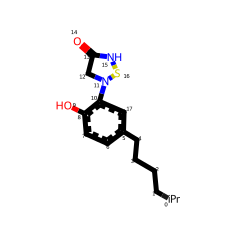 CC(C)CCCCc1ccc(O)c(N2CC(=O)NS2)c1